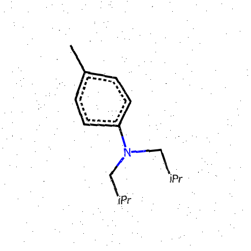 Cc1ccc(N(CC(C)C)CC(C)C)cc1